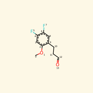 COc1cc(F)c(F)cc1CCC=O